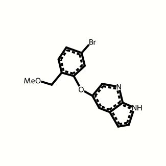 COCc1ccc(Br)cc1Oc1cnc2[nH]ccc2c1